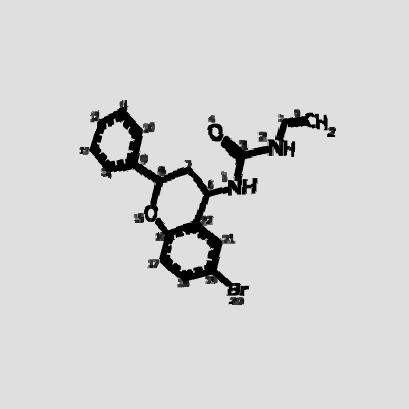 C=CNC(=O)NC1CC(c2ccccc2)Oc2ccc(Br)cc21